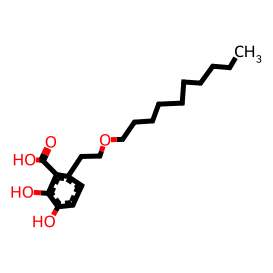 CCCCCCCCCCOCCc1ccc(O)c(O)c1C(=O)O